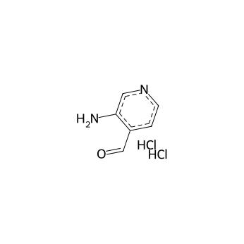 Cl.Cl.Nc1cnccc1C=O